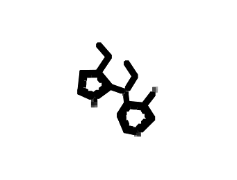 CCc1cc[nH]c1N(CC)c1ccncc1F